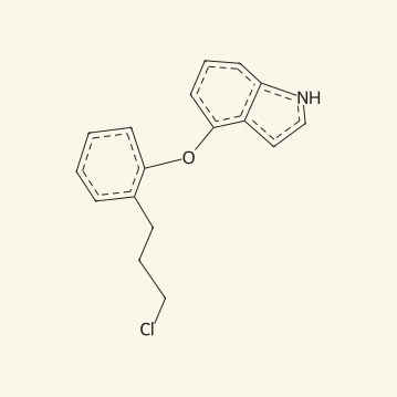 ClCCCc1ccccc1Oc1cccc2[nH]ccc12